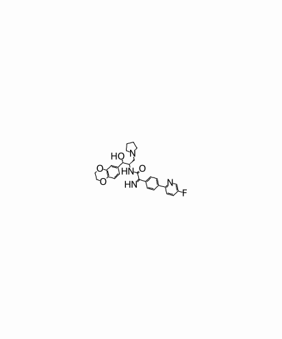 N=C(C(=O)N[C@H](CN1CCCC1)[C@H](O)c1ccc2c(c1)OCCO2)c1ccc(-c2ccc(F)cn2)cc1